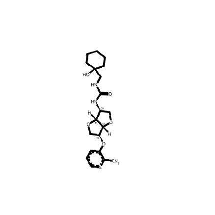 Cc1ncccc1O[C@H]1CO[C@H]2[C@@H]1OC[C@@H]2NC(=O)NCC1(O)CCCCC1